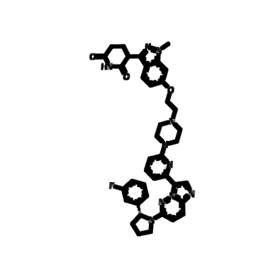 Cn1nc(C2CCC(=O)NC2=O)c2ccc(OCCN3CCN(c4cccc(-c5cnc6ccc(N7CCC[C@@H]7c7cccc(F)c7)nn56)n4)CC3)cc21